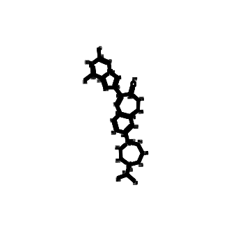 Cc1cn2cc(C3=Cc4ccc(N5CCCN(C(C)C)CC5)cc4CCC3=O)cc2c(C)n1